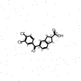 O=C(c1ccc(Cl)c(Cl)c1)c1ccc2c(c1)CC(C(=O)O)C2